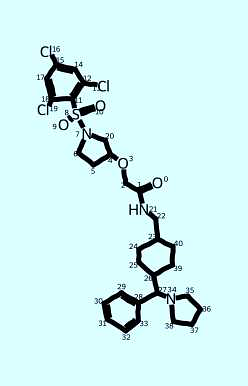 O=C(COC1CCN(S(=O)(=O)c2c(Cl)cc(Cl)cc2Cl)C1)NCC1CCC(C(c2ccccc2)N2CCCC2)CC1